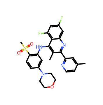 Cc1ccnc(-c2nc3cc(F)cc(F)c3c(Nc3cc(N4CCOCC4)ccc3S(C)(=O)=O)c2C)c1